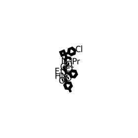 CCC(CC)(O[S@@](=O)/N=C(\CC(C)C)C1(c2ccc(Cl)cc2)CCC1)[C@H](NS(=O)(=O)c1ccc(C)cc1)c1ccccc1